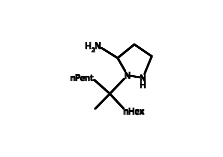 CCCCCCC(C)(CCCCC)N1NCCC1N